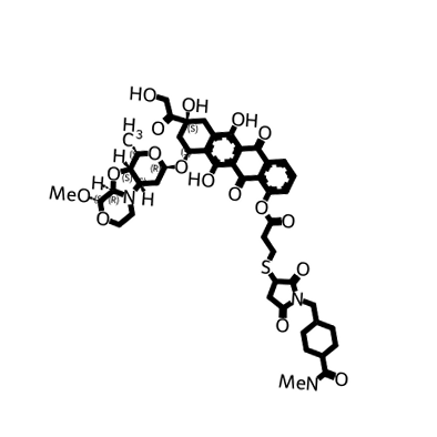 CNC(=O)C1CCC(CN2C(=O)CC(SCCC(=O)Oc3cccc4c3C(=O)c3c(O)c5c(c(O)c3C4=O)C[C@@](O)(C(=O)CO)C[C@@H]5O[C@H]3C[C@H]4[C@H](O[C@@H]5[C@@H](OC)OCCN54)[C@H](C)O3)C2=O)CC1